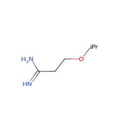 CC(C)OCCC(=N)N